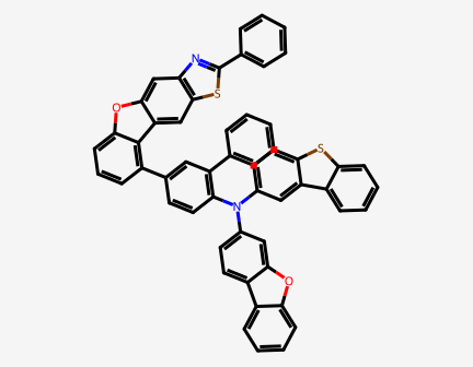 c1ccc(-c2nc3cc4oc5cccc(-c6ccc(N(c7ccc8c(c7)oc7ccccc78)c7ccc8sc9ccccc9c8c7)c(-c7ccccc7)c6)c5c4cc3s2)cc1